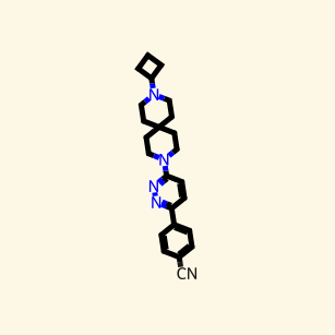 N#Cc1ccc(-c2ccc(N3CCC4(CC3)CCN(C3CCC3)CC4)nn2)cc1